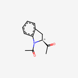 CC(=O)[C@@H]1Cc2ccccc2N1C(C)=O